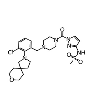 CS(=O)(=O)Nc1ccn(C(=O)N2CCN(Cc3cccc(Cl)c3N3CCC4(CCOCC4)C3)CC2)n1